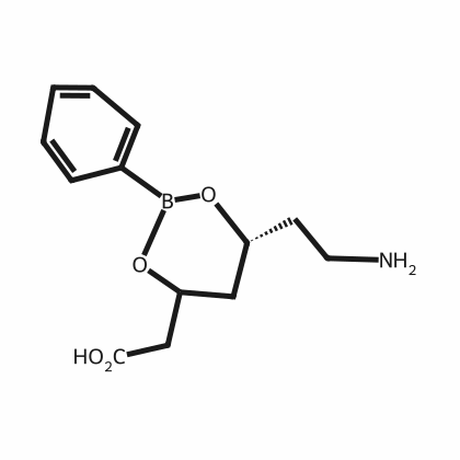 NCC[C@@H]1CC(CC(=O)O)OB(c2ccccc2)O1